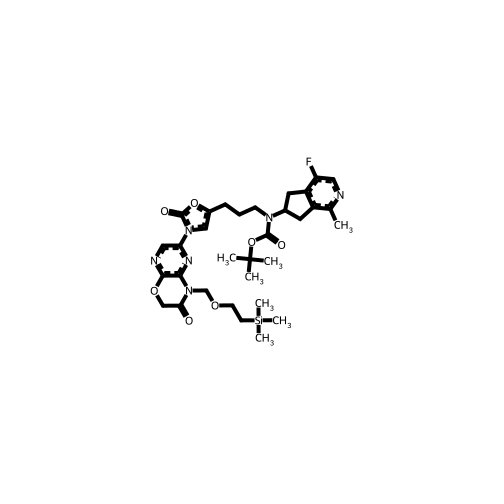 Cc1ncc(F)c2c1CC(N(CCCc1cn(-c3cnc4c(n3)N(COCC[Si](C)(C)C)C(=O)CO4)c(=O)o1)C(=O)OC(C)(C)C)C2